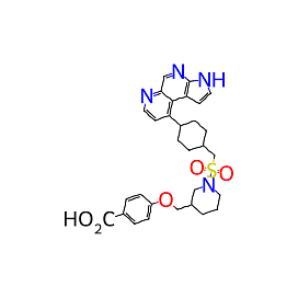 O=C(O)c1ccc(OCC2CCCN(S(=O)(=O)CC3CCC(c4ccnc5cnc6[nH]ccc6c45)CC3)C2)cc1